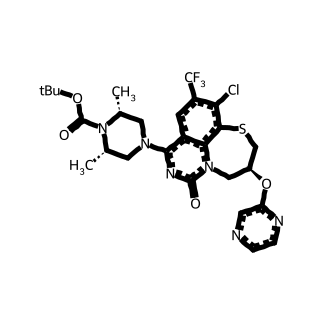 C[C@@H]1CN(c2nc(=O)n3c4c(c(Cl)c(C(F)(F)F)cc24)SC[C@@H](Oc2cnccn2)C3)C[C@H](C)N1C(=O)OC(C)(C)C